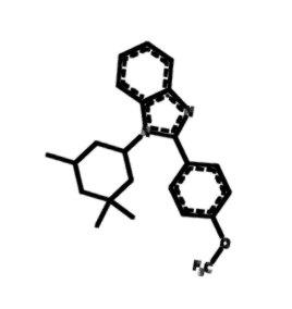 CC1CC(n2c(-c3ccc(OC(F)(F)F)cc3)nc3ccccc32)CC(C)(C)C1